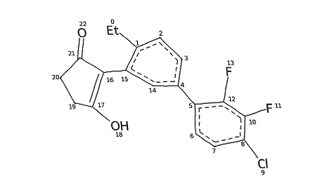 CCc1ccc(-c2ccc(Cl)c(F)c2F)cc1C1=C(O)CCC1=O